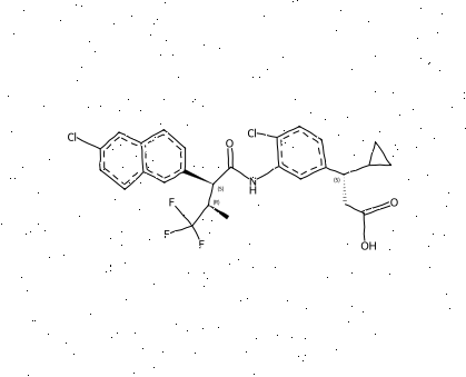 C[C@H]([C@H](C(=O)Nc1cc([C@@H](CC(=O)O)C2CC2)ccc1Cl)c1ccc2cc(Cl)ccc2c1)C(F)(F)F